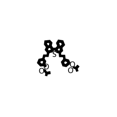 C=C(C)C(=O)Oc1cccc(CCc2cc3ccccc3c3c2sc2c(CCc4cccc(OC(=O)C(=C)C)c4)cc4ccccc4c23)c1